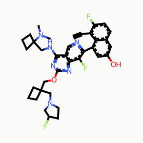 C#Cc1c(F)ccc2cc(O)cc(-c3ncc4c(NCC5(N(C)C)CCC5)nc(OCC5(CN6CCC(F)C6)CCC5)nc4c3F)c12